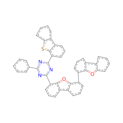 c1ccc(-c2nc(-c3cccc4c3oc3c(-c5cccc6c5oc5ccccc56)cccc34)nc(-c3cccc4c3sc3ccccc34)n2)cc1